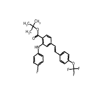 CC(C)(C)OC(=O)c1ccc(/C=C/c2ccc(OC(F)(F)F)cc2)cc1Nc1ccc(F)cc1